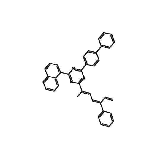 C=C/C(=C\C=C(/C)c1nc(-c2ccc(-c3ccccc3)cc2)nc(-c2cccc3ccccc23)n1)c1ccccc1